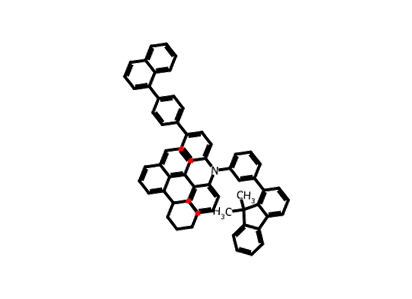 CC1(C)c2ccccc2-c2cccc(-c3cccc(N(c4ccc(-c5ccc(-c6cccc7ccccc67)cc5)cc4)c4ccccc4-c4cccc5cccc(C6CCCCC6)c45)c3)c21